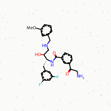 COc1cccc(CNC[C@H](O)[C@@H](Cc2cc(F)cc(F)c2)NC(=O)c2cccc(C(=O)CN)c2)c1